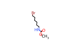 COC(=O)NCCCCCCBr